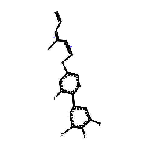 C=C/C=C(C)\C=C/Cc1ccc(-c2cc(F)c(F)c(F)c2)c(F)c1